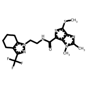 CSc1sc(C(=O)NCCn2nc(C(F)(F)F)c3c2CCCC3)c2c1nc(C)n2C